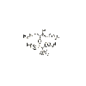 NC(CS)C(=O)O.NCC(=O)NCC(=O)O